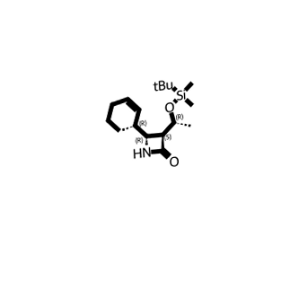 C[C@@H](O[Si](C)(C)C(C)(C)C)[C@H]1C(=O)N[C@@H]1[C@H]1C=CCCC1